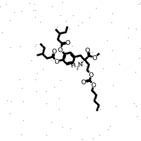 CCCCCOC(=O)OCC[C@@](N)(Cc1ccc(OC(=O)CC(C)CC)c(OC(=O)CC(C)CC)c1)C(=O)OC